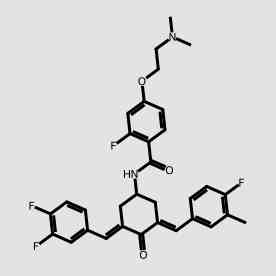 Cc1cc(/C=C2\CC(NC(=O)c3ccc(OCCN(C)C)cc3F)C/C(=C\c3ccc(F)c(F)c3)C2=O)ccc1F